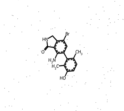 Cc1ccc(O)c(C)c1-c1cc(Br)c2c(c1N)C(=O)NC2